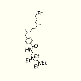 CCN(CC)CC[N+](CC)(CC)CCNC(=O)c1ccc(CC(C)CCCC(C)CCCC(C)C)cc1